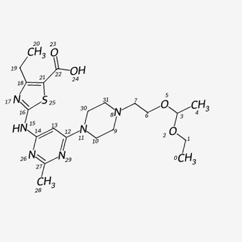 CCOC(C)OCCN1CCN(c2cc(Nc3nc(CC)c(C(=O)O)s3)nc(C)n2)CC1